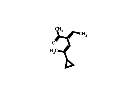 C/C=C(\C=C(/C)C1CC1)C(C)=O